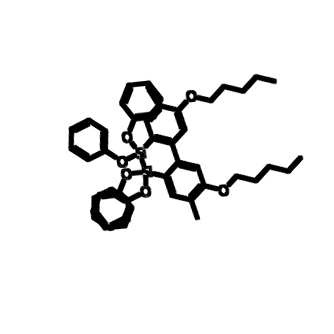 CCCCCOc1cc2c(cc1C)[Si](Oc1ccccc1)(Oc1ccccc1)[Si](Oc1ccccc1)(Oc1ccccc1)c1cc(C)c(OCCCCC)cc1-2